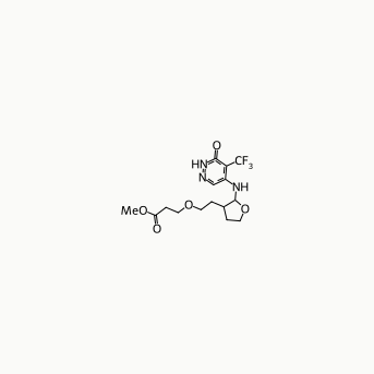 COC(=O)CCOCCC1CCOC1Nc1cn[nH]c(=O)c1C(F)(F)F